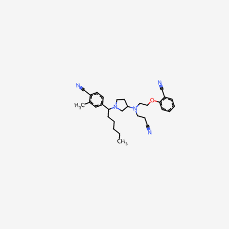 CCCCCC(c1ccc(C#N)c(C)c1)N1CCC(N(CCC#N)CCOc2ccccc2C#N)C1